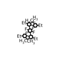 CCc1ccc2c(c1)C(C)(C)c1cc(CC)cc(-c3c(F)c(F)c(-c4cc(CC)cc5c4-c4ccc(CC)cc4C5(C)C)c(F)c3F)c1-2